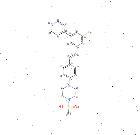 CCS(=O)(=O)N1CCN(c2ccc(/C=C/c3cc(F)cc(-c4ccncc4)c3)cc2)CC1